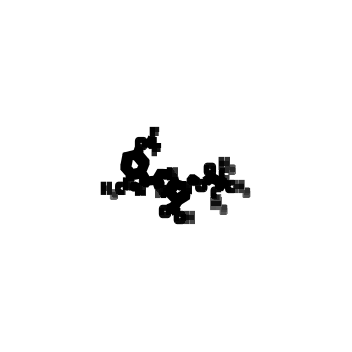 Cn1nc(-c2cnc3c(n2)c(C(=O)O)cn3COC(=O)C(C)(C)C)c2cc(OC(F)F)ccc21